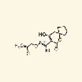 C=C(Cl)CO/N=C(\CC)C1=C(O)CC2(CCCC2)OC1=O